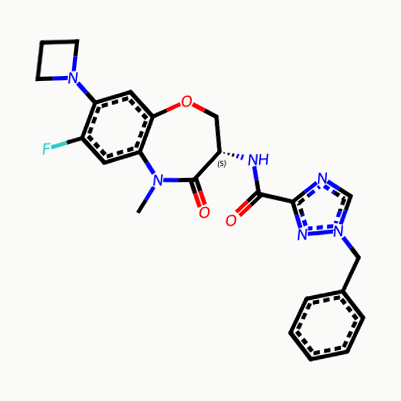 CN1C(=O)[C@@H](NC(=O)c2ncn(Cc3ccccc3)n2)COc2cc(N3CCC3)c(F)cc21